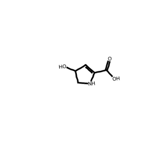 O=C(O)C1=CC(O)CN1